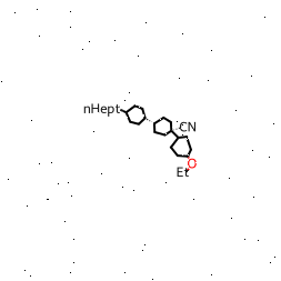 CCCCCCCC1CCC([C@H]2CC[C@](C#N)(C3CCC(OCC)CC3)CC2)CC1